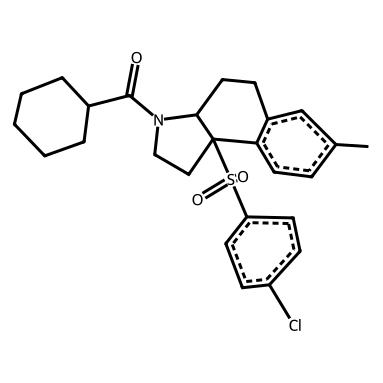 Cc1ccc2c(c1)CCC1N(C(=O)C3CCCCC3)CCC21S(=O)(=O)c1ccc(Cl)cc1